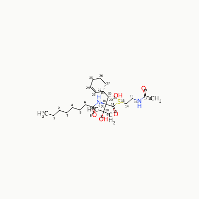 CCCCCCCC(=O)N[C@](C(=O)SCCNC(C)=O)([C@@H](O)[C@@H]1C=CCCC1)C(C)(C)O